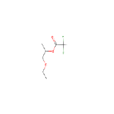 CCOCC(C)OC(=O)C(C)(F)F